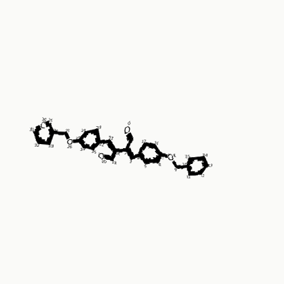 O=CC(=Cc1ccc(OCc2ccccc2)cc1)C(C=O)=Cc1ccc(OCc2ccccc2)cc1